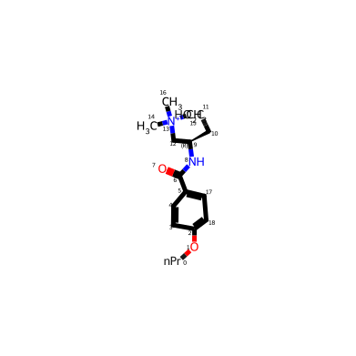 CCCOc1ccc(C(=O)N[C@H](CC(=O)O)C[N+](C)(C)C)cc1